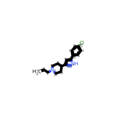 C=CCN1CCC(c2cc(-c3ccc(Cl)cc3)[nH]n2)CC1